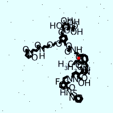 CCCC1(C)CCC2CCC(Cn3ncc(-c4ccc(N5CCc6c(F)ccc(C(=O)Nc7nc8ccccc8s7)c6C5)nc4C(=O)O)c3C)(CC2OCCNC(=O)OCc2ccc(O[C@@H]3O[C@H](C(=O)O)[C@@H](O)[C@H](O)[C@H]3O)cc2OCCOCCNC(=O)CCN2C(=O)C=CC2=O)C1